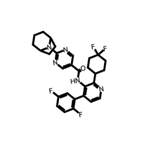 O=C(Nc1c(-c2cc(F)ccc2F)ccnc1C1CCC(F)(F)CC1)c1cnc(N2C3CCCC2CC3)nc1